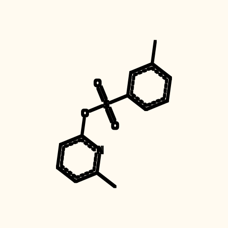 Cc1cccc(S(=O)(=O)Oc2cccc(C)n2)c1